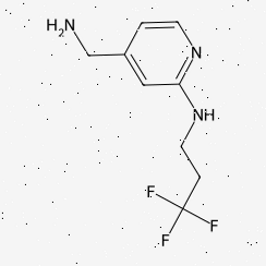 NCc1ccnc(NCCC(F)(F)F)c1